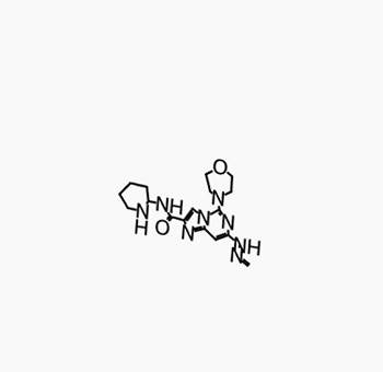 C=NNc1cc2nc(C(=O)NC3CCCCN3)cn2c(N2CCOCC2)n1